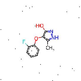 Cc1[nH]nc(O)c1Oc1ccccc1F